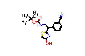 CC(C)(C)OC(=O)NCC(C1=NC(O)CS1)c1cccc(C#N)c1